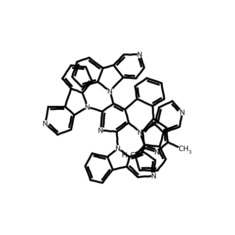 Cc1cc(-c2ccccc2-c2c(-n3c4ccccc4c4cnccc43)c(-n3c4ccccc4c4cnccc43)nc(-n3c4ccccc4c4cnccc43)c2-n2c3ccccc3c3cnccc32)cc(C)n1